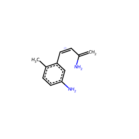 C=C(N)/C=C\c1cc(N)ccc1C